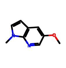 COc1cnc2c(ccn2C)c1